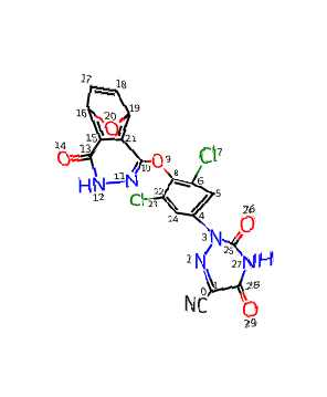 N#Cc1nn(-c2cc(Cl)c(Oc3n[nH]c(=O)c4c5ccc(o5)c34)c(Cl)c2)c(=O)[nH]c1=O